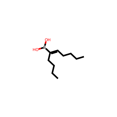 CCCCC=C(CCCC)B(O)O